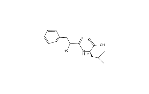 CC(C)C[C@@H](NC(=O)C(S)Cc1ccccc1)C(=O)O